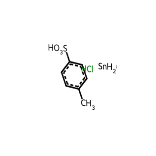 Cc1ccc(S(=O)(=O)O)cc1.Cl.[SnH2]